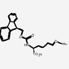 CC(C)(C)OCCCC[C@H](NC(=O)OCC1c2ccccc2-c2ccccc21)C(=O)O